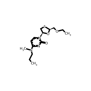 CCCN(C)c1ccn([C@H]2CS[C@@H](COCC)O2)c(=O)n1